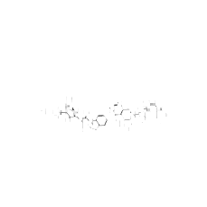 CC1Cc2c(ncnc2Oc2ccc3c(c2)CCN3C(=O)Nc2cc(C(C)(C)C)[nH]n2)CN1C(=O)OC(C)(C)C